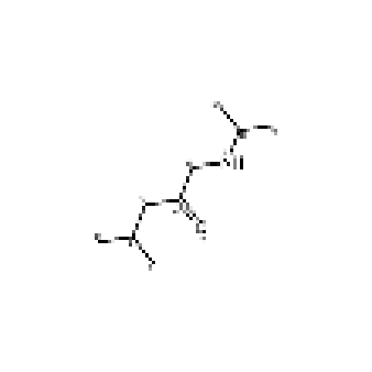 CC(C)CC(=O)CNC(C)C